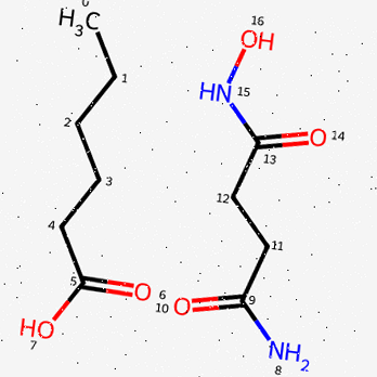 CCCCCC(=O)O.NC(=O)CCC(=O)NO